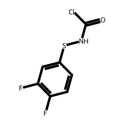 O=C(Cl)NSc1ccc(F)c(F)c1